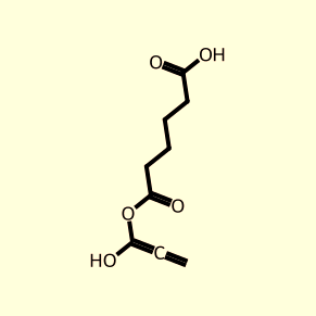 C=C=C(O)OC(=O)CCCCC(=O)O